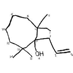 C=CCC1(O)C(C)(C)CCCCC1(C)C